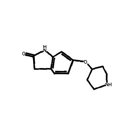 O=C1Cc2ccc(OC3CCNCC3)cc2N1